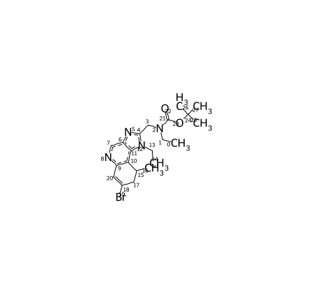 CCN(Cc1nc2cnc3c(c2n1CC)C(C)CC(Br)=C3)C(=O)OC(C)(C)C